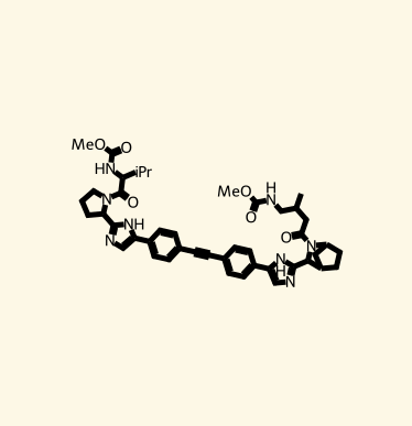 COC(=O)NCC(C)CC(=O)N1C2CCC(C2)C1c1ncc(-c2ccc(C#Cc3ccc(-c4cnc(C5CCCN5C(=O)C(NC(=O)OC)C(C)C)[nH]4)cc3)cc2)[nH]1